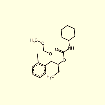 CC[C@H](OC(=O)NC1CCCCC1)[C@@H](OCOC)c1ccccc1I